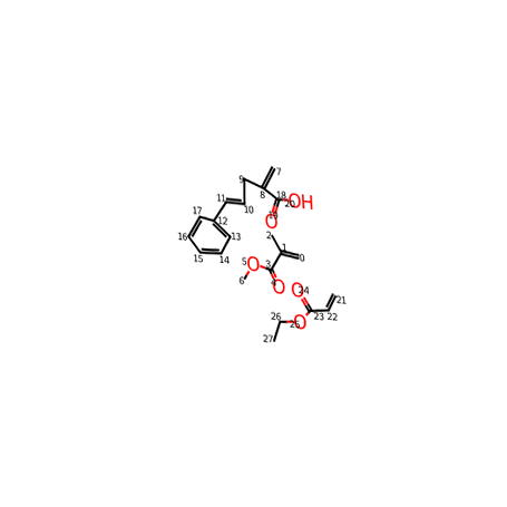 C=C(C)C(=O)OC.C=C(CC=Cc1ccccc1)C(=O)O.C=CC(=O)OCC